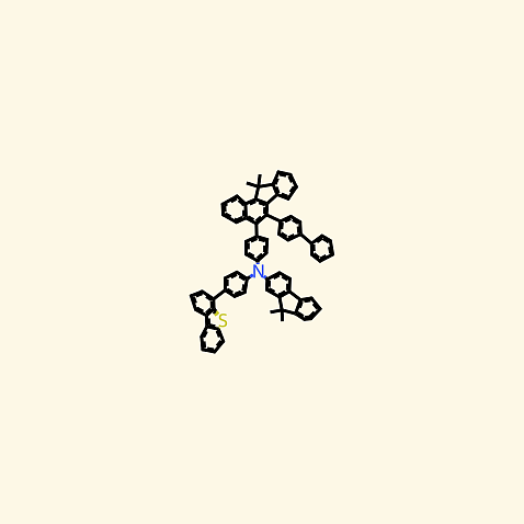 CC1(C)c2ccccc2-c2ccc(N(c3ccc(-c4c(-c5ccc(-c6ccccc6)cc5)c5c(c6ccccc46)C(C)(C)c4ccccc4-5)cc3)c3ccc(-c4cccc5c4sc4ccccc45)cc3)cc21